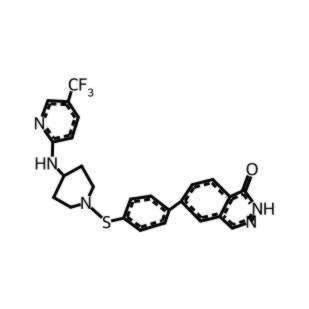 O=c1[nH]ncc2cc(-c3ccc(SN4CCC(Nc5ccc(C(F)(F)F)cn5)CC4)cc3)ccc12